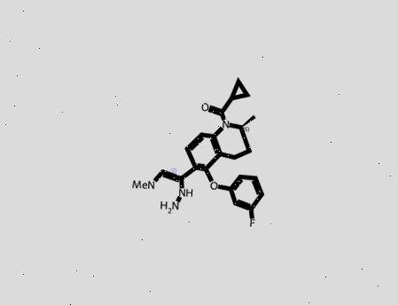 CN/C=C(\NN)c1ccc2c(c1Oc1cccc(F)c1)CC[C@H](C)N2C(=O)C1CC1